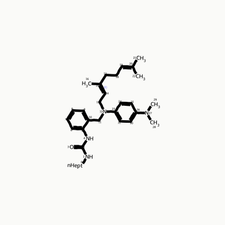 CCCCCCCNC(=O)Nc1ccccc1CN(C/C=C(\C)CCC=C(C)C)c1ccc(N(C)C)cc1